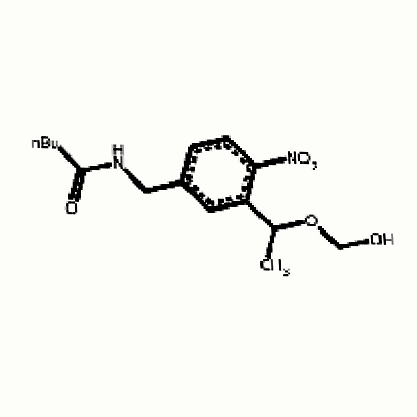 CCCCC(=O)NCc1ccc([N+](=O)[O-])c(C(C)OCO)c1